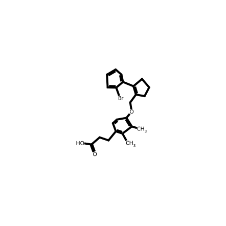 Cc1c(CCC(=O)O)ccc(OCC2=C(c3ccccc3Br)CCC2)c1C